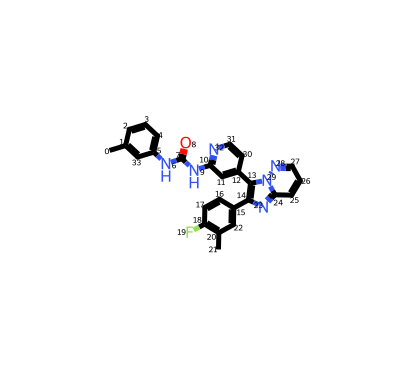 Cc1cccc(NC(=O)Nc2cc(-c3c(-c4ccc(F)c(C)c4)nc4cccnn34)ccn2)c1